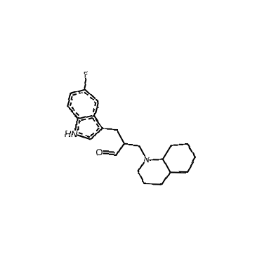 O=CC(Cc1c[nH]c2ccc(F)cc12)CN1CCCC2CCCCC21